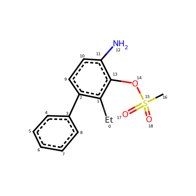 CCc1c(-c2ccccc2)ccc(N)c1OS(C)(=O)=O